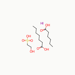 CCCCCC(=O)O.CCCCCCC(=O)O.I.O=S(=O)(O)CCO